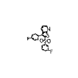 O=S(=O)(c1cccc(F)c1)c1sc2ncccc2c1-c1ccc(F)cc1